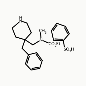 CCOC(=O)N(C)CC1(Cc2ccccc2)CCNCC1.O=S(=O)(O)c1ccccc1